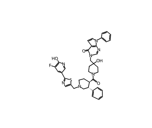 O=C([C@@H]1CCN(Cc2cnc(-c3cnc(O)c(F)c3)s2)C[C@H]1c1ccccc1)N1CCC(O)(Cn2cnc3c(ccn3-c3ccccc3)c2=O)CC1